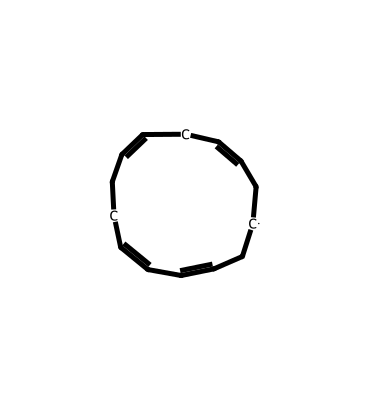 [CH]1CC=CC=CCCC=CCC=CC1